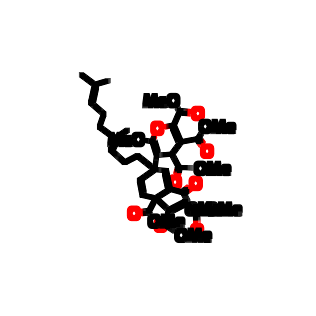 COC(=O)/C=C(\C(=O)OC)C1(C(=O)OC)C=CC(CC/C=C(\C)CCC=C(C)C)(C2=C(OC)OC(C(=O)OC)=C(C(=O)OC)C2C(=O)OC)C=C1C(=O)OC